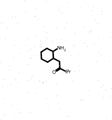 CC(C)C(=O)CC1CCCCC1N